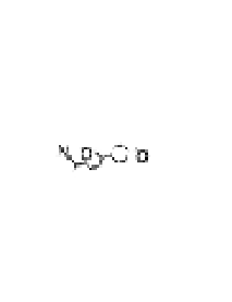 C=C(/C=C\C(OC)=C(/C)C#N)[C@H]1CC[C@H](C=O)CC1